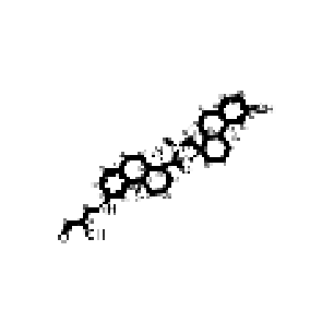 CN(C(=O)[C@@]1(C)CCC[C@]2(C)c3cc(O)ccc3CC[C@@H]12)C(=O)[C@@]1(C)CCC[C@]2(C)c3cc(NCC(O)C=O)ccc3CC[C@@]12C